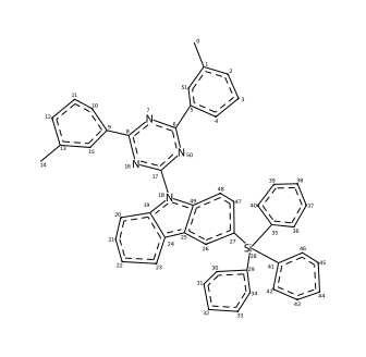 Cc1cccc(-c2nc(-c3cccc(C)c3)nc(-n3c4ccccc4c4cc([Si](c5ccccc5)(c5ccccc5)c5ccccc5)ccc43)n2)c1